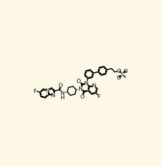 CS(=O)(=O)OCCc1ccc(-c2cccc(-n3c(=O)n([C@H]4CC[C@@H](NC(=O)c5cn6cc(F)ccc6n5)CC4)c(=O)c4cc(F)cnc43)c2)cc1